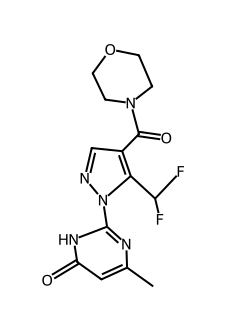 Cc1cc(=O)[nH]c(-n2ncc(C(=O)N3CCOCC3)c2C(F)F)n1